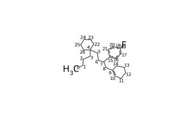 CCCCC1(CCC(CC2=CCCCC2)c2ccc(F)cc2)CCCCC1